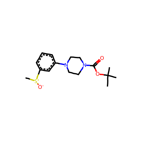 C[S+]([O-])c1cccc(N2CCN(C(=O)OC(C)(C)C)CC2)c1